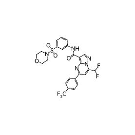 O=C(Nc1cccc(S(=O)(=O)N2CCOCC2)c1)c1cnn2c(C(F)F)cc(-c3ccc(C(F)(F)F)cc3)nc12